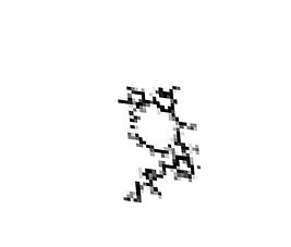 Cc1cc2cc(n1)-c1cnn(C)c1OCCCCCN1/C(=N/C2=O)Nc2cccc(CCNC(=O)OC(C)(C)C)c21